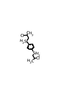 CC(Cl)C[SiH2]c1ccc([SiH2]CC(C)Cl)cc1